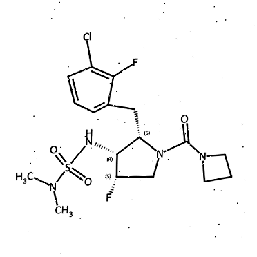 CN(C)S(=O)(=O)N[C@H]1[C@@H](F)CN(C(=O)N2CCC2)[C@H]1Cc1cccc(Cl)c1F